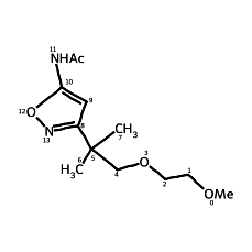 COCCOCC(C)(C)c1cc(NC(C)=O)on1